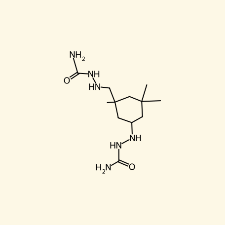 CC1(C)CC(NNC(N)=O)CC(C)(CNNC(N)=O)C1